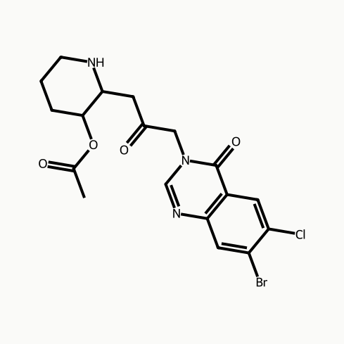 CC(=O)OC1CCCNC1CC(=O)Cn1cnc2cc(Br)c(Cl)cc2c1=O